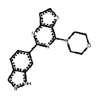 c1cc2nc(-c3ccc4cn[nH]c4c3)nc(N3CCOCC3)c2s1